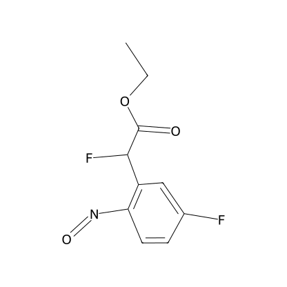 CCOC(=O)C(F)c1cc(F)ccc1N=O